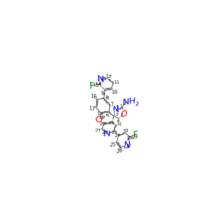 NC1=NC2(CO1)c1cc(-c3cccnc3F)ccc1Oc1cnc(-c3ccnc(F)c3)cc12